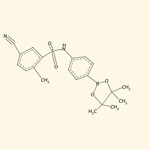 Cc1ccc(C#N)cc1S(=O)(=O)Nc1ccc(B2OC(C)(C)C(C)(C)O2)cc1